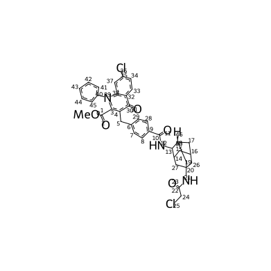 COC(=O)c1c(Cc2ccc(C(=O)NC3C4CC5C[C@@H]3CC(NC(=O)CCl)(C5)C4)cc2)c(=O)c2ccc(Cl)cc2n1-c1ccccc1